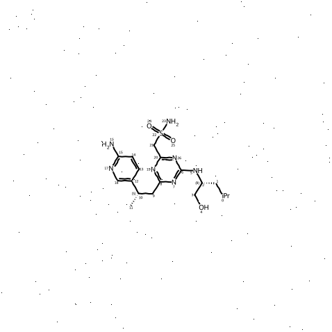 CC(C)C[C@H](CO)Nc1nc(C[C@H](C)c2ccc(N)nc2)nc(CS(N)(=O)=O)n1